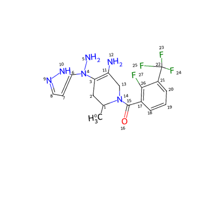 CC1CC(N(N)c2ccn[nH]2)=C(N)CN1C(=O)c1cccc(C(F)(F)F)c1F